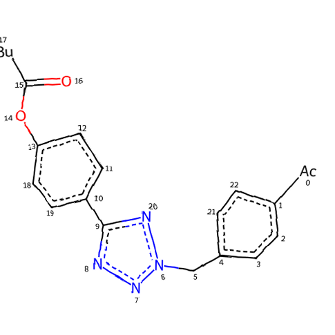 CC(=O)c1ccc(Cn2nnc(-c3ccc(OC(=O)C(C)(C)C)cc3)n2)cc1